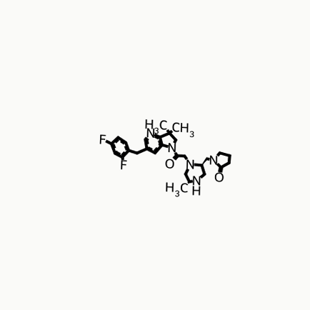 C[C@@H]1CN(CC(=O)N2CC(C)(C)c3ncc(Cc4ccc(F)cc4F)cc32)[C@@H](CN2CCCC2=O)CN1